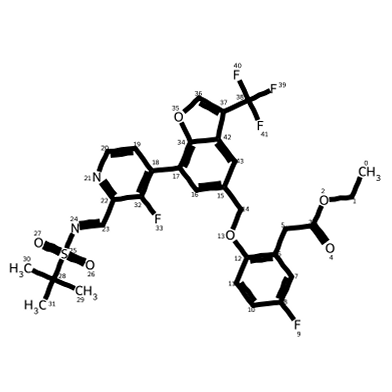 CCOC(=O)Cc1cc(F)ccc1OCc1cc(-c2ccnc(C=NS(=O)(=O)C(C)(C)C)c2F)c2occ(C(F)(F)F)c2c1